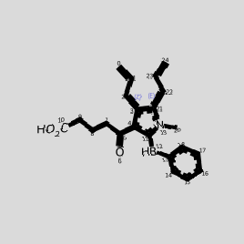 C=C/C=c1/c(C(=O)CCCC(=O)O)c(Bc2ccccc2)n(C)/c1=C/C=C